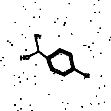 CCc1ccc(C(O)C(C)C)cc1